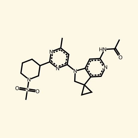 CC(=O)Nc1cc2c(cn1)C1(CC1)CN2c1cc(C)nc(C2CCCN(S(C)(=O)=O)C2)n1